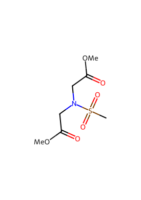 COC(=O)CN(CC(=O)OC)S(C)(=O)=O